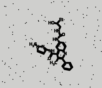 CCC(O)CNC(=O)Nc1ccc2nc(-c3ccccc3)c(C)c(C(=O)Nc3ccn(C)n3)c2c1